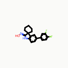 O/N=C1\Nc2ccc(-c3ccc(F)c(F)c3)cc2C12CCCCC2